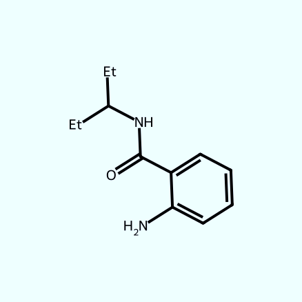 CCC(CC)NC(=O)c1ccccc1N